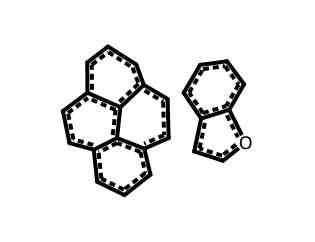 c1cc2ccc3cccc4ccc(c1)c2c34.c1ccc2occc2c1